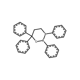 c1ccc(B2CCC(c3ccccc3)(c3ccccc3)OB2c2ccccc2)cc1